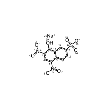 O=[N+]([O-])c1cc([N+](=O)[O-])c2ccc(S(=O)(=O)[O-])cc2c1O.[Na+]